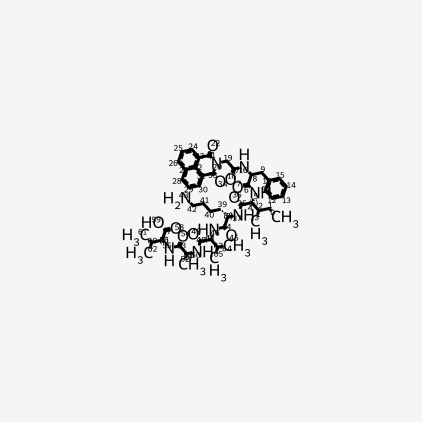 CCC(C)[C@H](NC(=O)C(Cc1ccccc1)NC(=O)CN1C(=O)c2cccc3cccc(c23)C1=O)C(=O)N[C@@H](CCCCN)C(=O)N[C@H](C(=O)N[C@@H](C)C(=O)N[C@H](C(=O)O)C(C)C)C(C)C